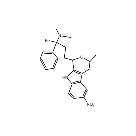 CCC(CCC1OC(C)Cc2c1[nH]c1ccc([N+](=O)[O-])cc21)(c1ccccc1)N(C)C